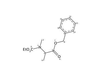 CCOC(=O)N(C)C(C)C(=O)OCc1ccccc1